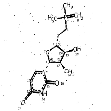 C=P(C)(C)CC[C@H]1O[C@@H](n2ccc(=O)[nH]c2=O)[C@H](C)[C@@H]1O